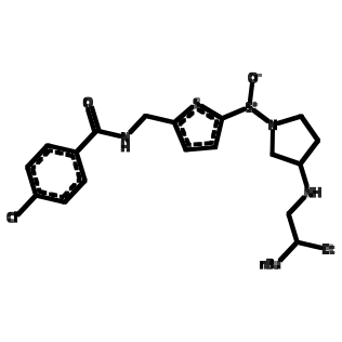 CCCCC(CC)CNC1CCN([S+]([O-])c2ccc(CNC(=O)c3ccc(Cl)cc3)s2)C1